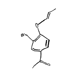 CC=COc1ccc(C(C)=O)cc1Br